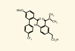 COc1ccc(C(=O)Nc2ccc(CC(=O)O)cc2C(=O)N(C)C)c(-c2ccc(C(F)(F)F)cc2)c1